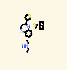 C1=Nc2ccccc2N=C(c2ccsc2)C1.C1CS1.CCNCC.c1cc2ccc1-2